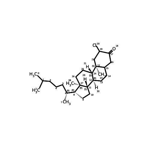 CC(C)CCC[C@@H](C)[C@H]1CC[C@H]2[C@@H]3CCC4CC(=O)C(Cl)C[C@]4(C)[C@H]3CC[C@]12C